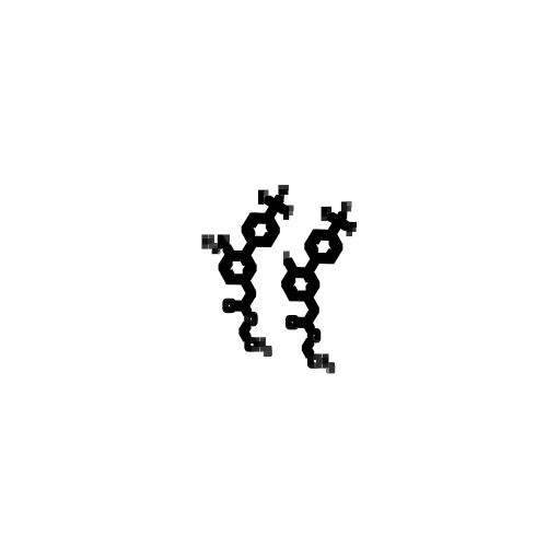 CCOC(=O)Cc1ccc(I)c(-c2ccc(C(F)(F)F)cc2)c1.CCOC(=O)Cc1ccc(N)c(-c2ccc(C(F)(F)F)cc2)c1